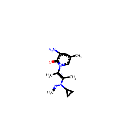 C=NN(/C(C)=C(\C)n1cc(C)cc(N)c1=O)C1CC1